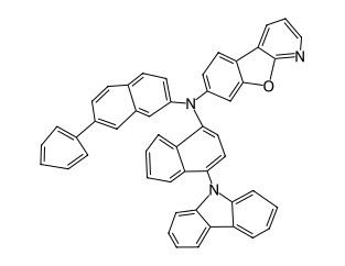 c1ccc(-c2ccc3ccc(N(c4ccc5c(c4)oc4ncccc45)c4ccc(-n5c6ccccc6c6ccccc65)c5ccccc45)cc3c2)cc1